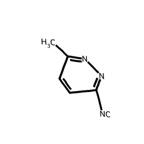 [C-]#[N+]c1ccc(C)nn1